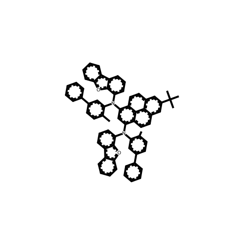 Cc1ccc(-c2ccccc2)cc1N(c1cc(N(c2cc(-c3ccccc3)ccc2C)c2cccc3c2oc2ccccc23)c2ccc3cc(C(C)(C)C)cc4ccc1c2c43)c1cccc2c1oc1ccccc12